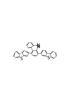 N#Cc1ccccc1-c1c(-c2ccc3c(c2)sc2ccccc23)ccc(-c2ccc3c(c2)sc2ccccc23)c1C#N